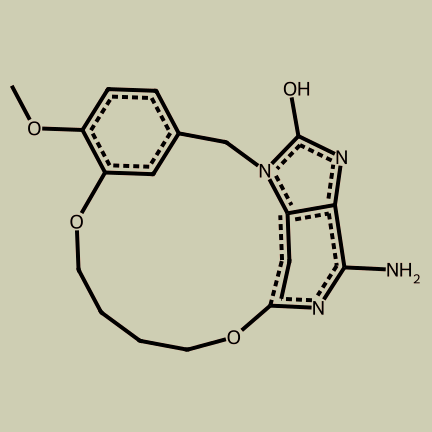 COc1ccc2cc1OCCCCOc1cc3c(nc(O)n3C2)c(N)n1